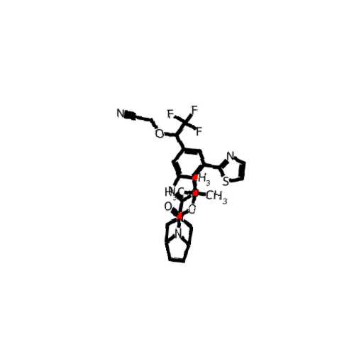 CC(C)(C)OC(=O)N1C2CCC1CN(c1nc3cc(C(OCC#N)C(F)(F)F)cc(-c4nccs4)c3o1)C2